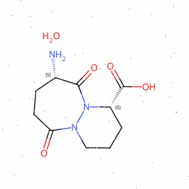 N[C@H]1CCC(=O)N2CCC[C@@H](C(=O)O)N2C1=O.O